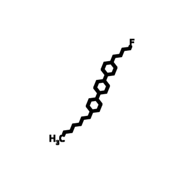 CCCCCCCC1CCC(C2CCC(C3CCC(CCCCF)CC3)CC2)CC1